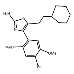 CCc1cc(OC)c(-c2nc(N)sc2CCC2CCCCC2)cc1OC